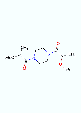 COC(C)C(=O)N1CCN(C(=O)C(C)OC(C)C)CC1